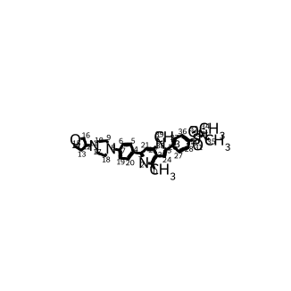 Cc1nc(-c2ccc(N3CCN(C4CCOC4)CC3)cc2)cc2c1cc(-c1ccc(S(=O)(=O)N(C)C)cc1)n2C